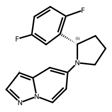 Fc1ccc(F)c([C@@H]2CCCN2c2ccn3nc[c]c3c2)c1